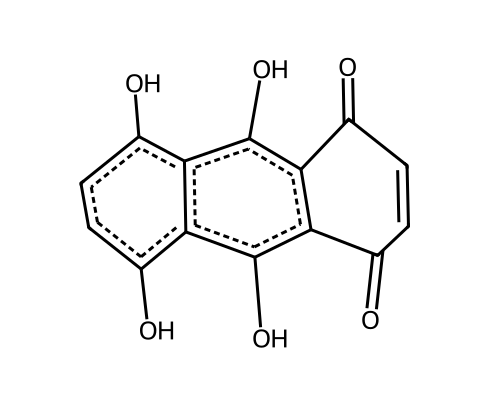 O=C1C=CC(=O)c2c1c(O)c1c(O)ccc(O)c1c2O